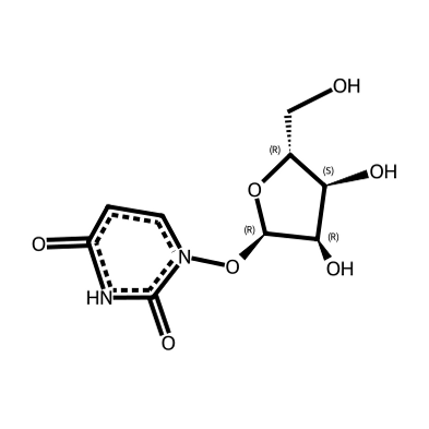 O=c1ccn(O[C@H]2O[C@H](CO)[C@@H](O)[C@H]2O)c(=O)[nH]1